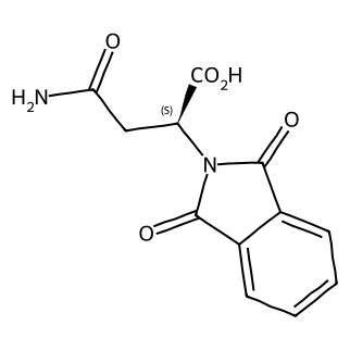 NC(=O)C[C@@H](C(=O)O)N1C(=O)c2ccccc2C1=O